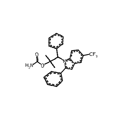 CC(C)(OC(N)=O)C(c1ccccc1)n1c(-c2ccccc2)cc2cc(C(F)(F)F)ccc21